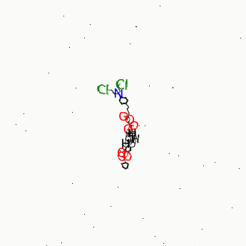 COc1c(OC(=O)c2ccccc2)cc2c(c1C)[C@H]1CC[C@]3(C)[C@@H](OC(=O)COC(=O)CCCc4ccc(N(CCCl)CCCl)cc4)CC[C@H]3[C@@H]1CC2